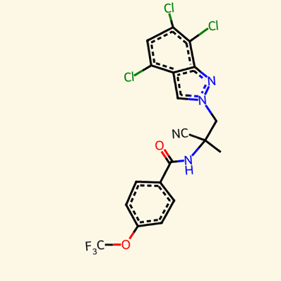 CC(C#N)(Cn1cc2c(Cl)cc(Cl)c(Cl)c2n1)NC(=O)c1ccc(OC(F)(F)F)cc1